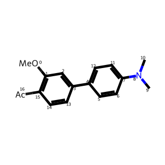 COc1cc(-c2ccc(N(C)C)cc2)ccc1C(C)=O